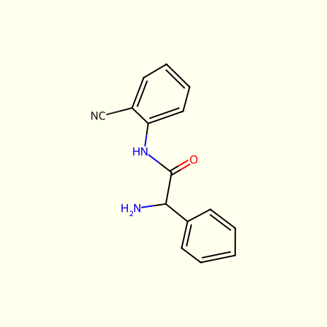 N#Cc1ccccc1NC(=O)C(N)c1ccccc1